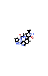 C=CC(=O)N[C@@H]1CCC[C@@H]1Nc1cc2c(cn1)CCc1c-2[nH]c2c1C(=O)NC1(CC1)C2